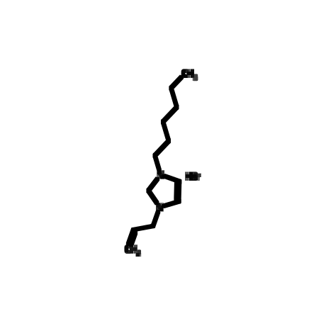 Br.C=CCN1C=CN(CCCCCC)C1